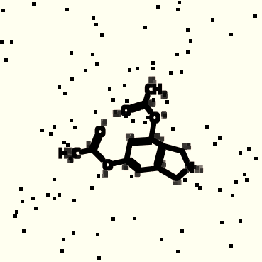 CC(=O)Oc1cc2c(c(OC(C)=O)c1)C[N]C2